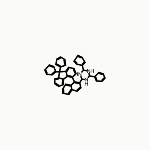 c1ccc(C2NC(c3ccccc3)NC(c3ccc4ccccc4c3-c3cccc4c3-c3ccccc3C4(c3ccccc3)c3ccccc3)N2)cc1